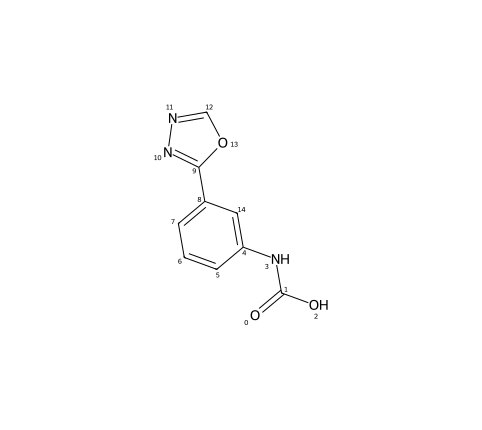 O=C(O)Nc1cccc(-c2nnco2)c1